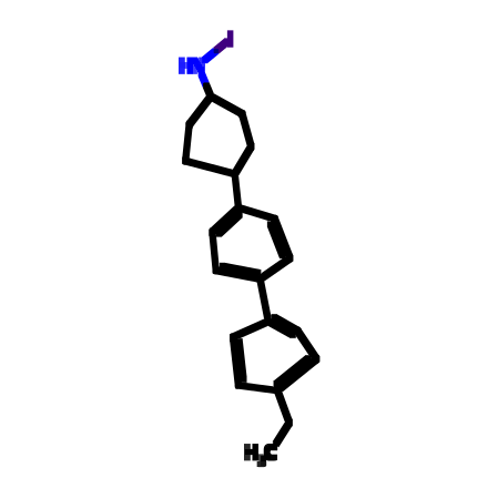 CCc1ccc(-c2ccc(C3CCC(NI)CC3)cc2)cc1